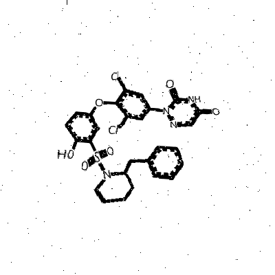 O=c1cnn(-c2cc(Cl)c(Oc3ccc(O)c(S(=O)(=O)N4CCCCC4Cc4ccccc4)c3)c(Cl)c2)c(=O)[nH]1